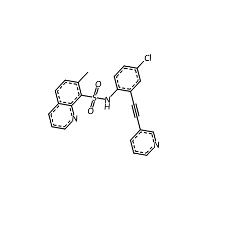 Cc1ccc2cccnc2c1S(=O)(=O)Nc1ccc(Cl)cc1C#Cc1cccnc1